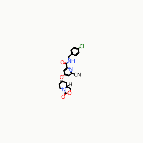 N#Cc1cc(O[C@H]2CCN3C(=O)OC[C@@H]3C2)cc(C(=O)NCc2ccc(Cl)cc2)n1